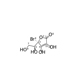 O=C1O[C@](Br)([C@@H](O)CO)C(O)=C1O